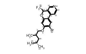 CC(COc1cc2c(cc1Br)-c1ccncc1C(C(F)(F)F)O2)C[C@H](C)N